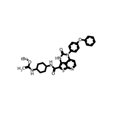 C=C(NC1CCC(NC(=O)c2sc3nccc4c3c2NC(=O)N4c2ccc(Oc3ccccc3)cc2)CC1)OC(C)(C)C